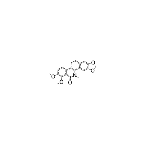 COc1ccc2c(c1OC)c(=O)n(C)c1c3cc4c(cc3ccc21)OCO4